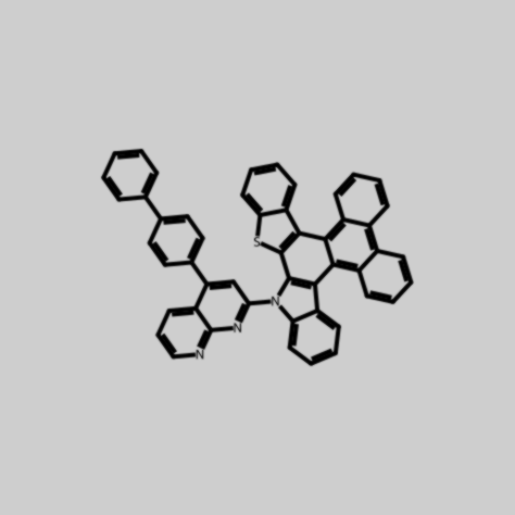 c1ccc(-c2ccc(-c3cc(-n4c5ccccc5c5c6c7ccccc7c7ccccc7c6c6c7ccccc7sc6c54)nc4ncccc34)cc2)cc1